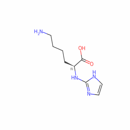 NCCCC[C@H](Nc1ncc[nH]1)C(=O)O